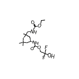 CCOC(=O)NCC1(C)CC(NC(=O)OCC(O)(F)F)CC(C)(C)C1